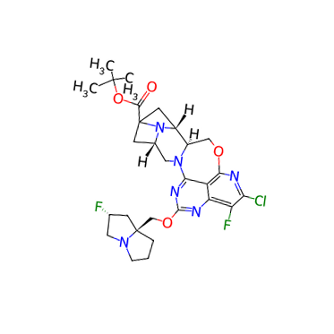 CC(C)(C)OC(=O)C12C[C@H]3CN4c5nc(OC[C@@]67CCCN6C[C@H](F)C7)nc6c(F)c(Cl)nc(c56)OC[C@@H]4[C@@H](C1)N32